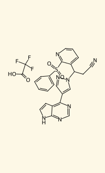 N#CCC(c1cccnc1S(=O)(=O)c1ccccc1)n1cc(-c2ncnc3[nH]ccc23)cn1.O=C(O)C(F)(F)F